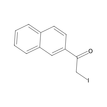 O=C(CI)c1ccc2ccccc2c1